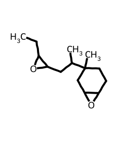 CCC1OC1CC(C)C1(C)CCC2OC2C1